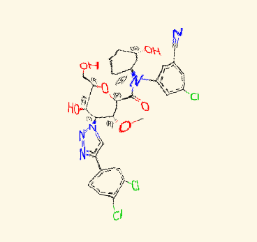 CO[C@@H]1[C@@H](n2cc(-c3ccc(Cl)c(Cl)c3)nn2)[C@@H](O)[C@@H](CO)O[C@H]1C(=O)N(c1cc(Cl)cc(C#N)c1)[C@H]1CCC[C@@H]1O